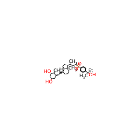 C=C1/C(=C\C=C2/CCC[C@]3(C)[C@@H]([C@H](C)CCS(=O)(=O)c4ccc(C(C)(O)CC)cc4)CC[C@@H]23)C[C@@H](O)C[C@@H]1O